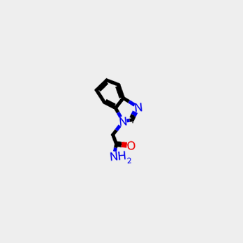 NC(=O)Cn1[c]nc2ccccc21